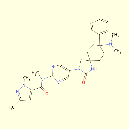 Cc1cc(C(=O)N(C)c2ncc(N3CC4(CCC(c5ccccc5)(N(C)C)CC4)NC3=O)cn2)n(C)n1